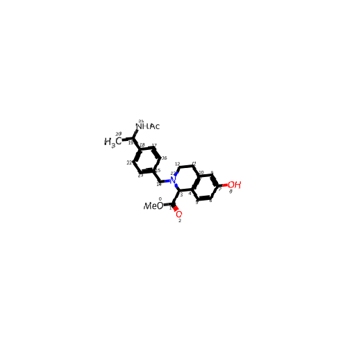 COC(=O)C1c2ccc(O)cc2CCN1Cc1ccc(C(C)NC(C)=O)cc1